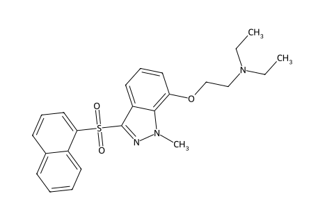 CCN(CC)CCOc1cccc2c(S(=O)(=O)c3cccc4ccccc34)nn(C)c12